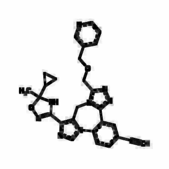 C#Cc1ccc2c(c1)-c1nnc(COCc3cccnc3)n1Cc1c(C3=NOC(C)(C4CC4)N3)ncn1-2